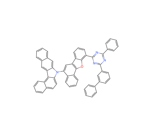 c1ccc(-c2cccc(-c3nc(-c4ccccc4)nc(-c4cccc5c4oc4c6ccccc6c(-n6c7cc8ccccc8cc7c7c8ccccc8ccc76)cc54)n3)c2)cc1